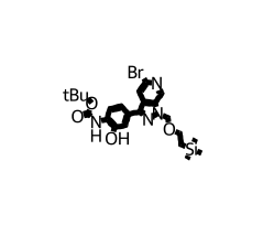 CC(C)(C)OC(=O)Nc1ccc(-c2nn(COCC[Si](C)(C)C)c3cnc(Br)cc23)cc1O